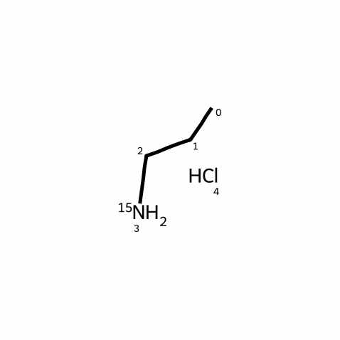 CCC[15NH2].Cl